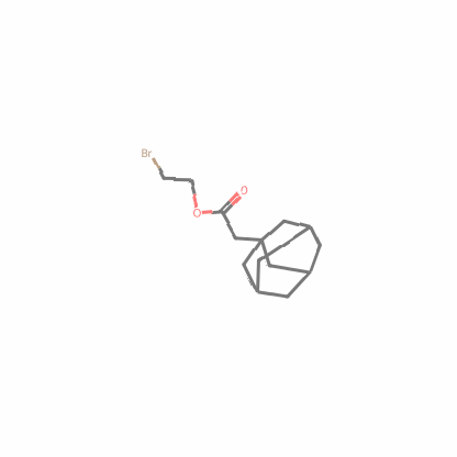 O=C(CC12CC3CC(CC(C3)C1)C2)OCCBr